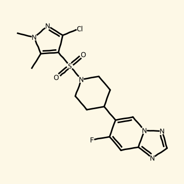 Cc1c(S(=O)(=O)N2CCC(c3cn4ncnc4cc3F)CC2)c(Cl)nn1C